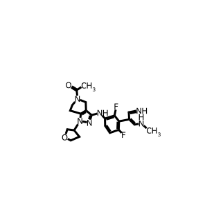 CN/C=C(\C=N)c1c(F)ccc(Nc2nn(C3CCOC3)c3c2CN(C(C)=O)CC3)c1F